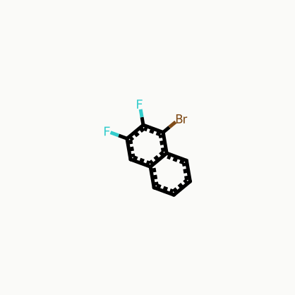 Fc1cc2ccccc2c(Br)c1F